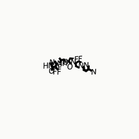 CC(CO[C@@H]1CCN([C@@H]2CCN(c3ccc(C#N)cn3)CC2(F)F)C1=O)Nc1cn[nH]c(=O)c1C(F)(F)F